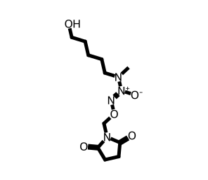 CN(CCCCCO)[N+]([O-])=NOCN1C(=O)CCC1=O